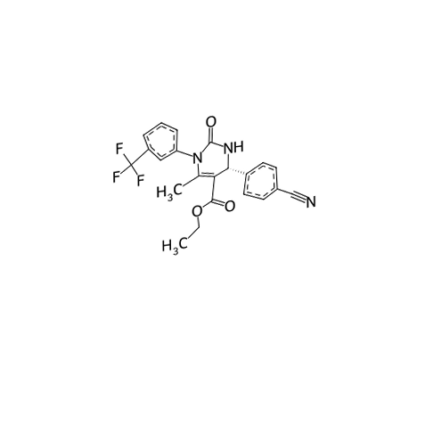 CCOC(=O)C1=C(C)N(c2cccc(C(F)(F)F)c2)C(=O)N[C@@H]1c1ccc(C#N)cc1